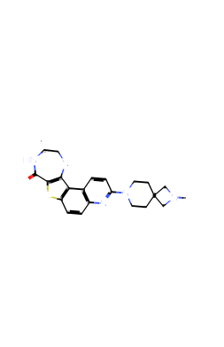 C[C@@H]1CNc2c(sc3ccc4nc(N5CCC6(CC5)CN(C)C6)ccc4c23)C(=O)N1